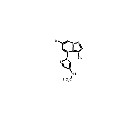 N#Cc1cnn2cc(Br)cc(-n3cc(NC(=O)O)cn3)c12